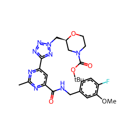 COc1cc(CNC(=O)c2cc(-c3nnn(C[C@@H]4CN(C(=O)OC(C)(C)C)CCO4)n3)nc(C)n2)ccc1F